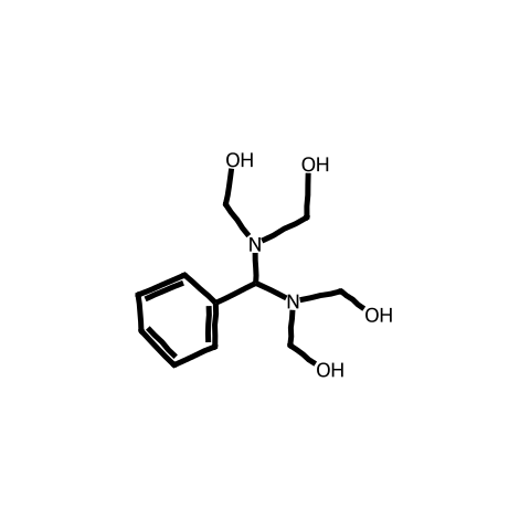 OCN(CO)C(c1ccccc1)N(CO)CO